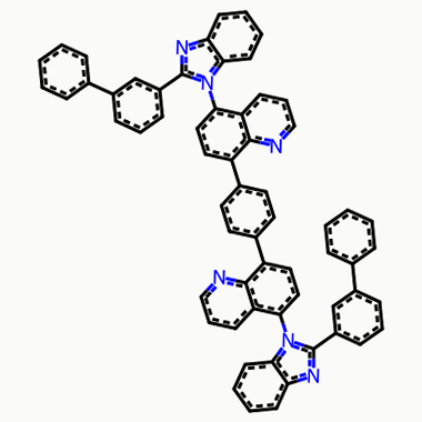 c1ccc(-c2cccc(-c3nc4ccccc4n3-c3ccc(-c4ccc(-c5ccc(-n6c(-c7cccc(-c8ccccc8)c7)nc7ccccc76)c6cccnc56)cc4)c4ncccc34)c2)cc1